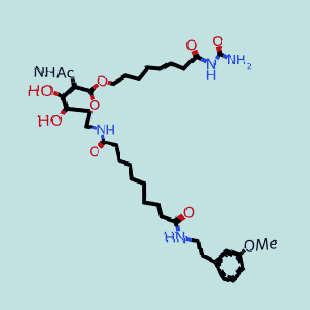 COc1cccc(CCNC(=O)CCCCCCCCC(=O)NCC2OC(OCCCCCCCC(=O)NC(N)=O)C(NC(C)=O)C(O)C2O)c1